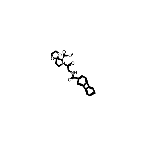 COC(=O)[C@H]1N(C(=O)CNC(=O)c2ccc3c(c2)-c2ccccc2-3)CCC12OCCO2